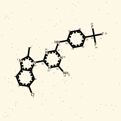 Cc1nc2ccc(Cl)cc2n1-c1nc(N)nc(Nc2ccc(C(F)(F)F)cc2)n1